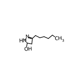 CCCCCCC1=NNC(O)C1